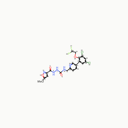 COc1cc(C(=O)NNC(=O)NCc2ccc(-c3cc(Cl)cc(Cl)c3OCC(F)F)cn2)no1